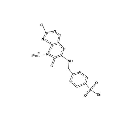 CCC[C@@H](C)n1c(=O)c(NCc2ccc(S(=O)(=O)CC)cn2)nc2cnc(Cl)nc21